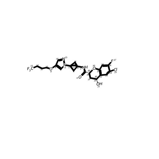 O=C(NC12CC(n3cc(OCCCC(F)(F)F)cn3)(C1)C2)[C@H]1C[C@@H](O)c2cc(Cl)c(F)cc2O1